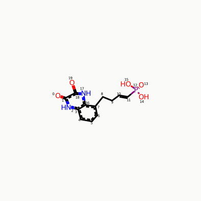 O=c1[nH]c2cccc(CCC=CP(=O)(O)O)c2[nH]c1=O